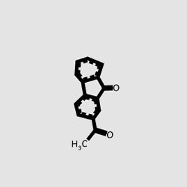 CC(=O)c1ccc2c(c1)C(=O)c1ccccc1-2